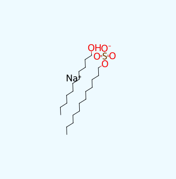 CCCCCCCCCCCCOS(=O)(=O)[O-].CCCCCCCCCCCO.[Na+]